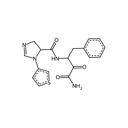 NC(=O)C(=O)C(Cc1ccccc1)NC(=O)C1CN=CN1c1ccsc1